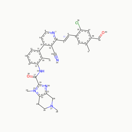 Cc1cc(/C=C/c2nccc(-c3cccc(NC(=O)c4nc5c(n4C)CCN(C)C5)c3C)c2C#N)c(Cl)cc1C=O